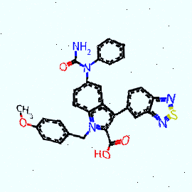 COc1ccc(Cn2c(C(=O)O)c(-c3ccc4nsnc4c3)c3cc(N(C(N)=O)c4ccccc4)ccc32)cc1